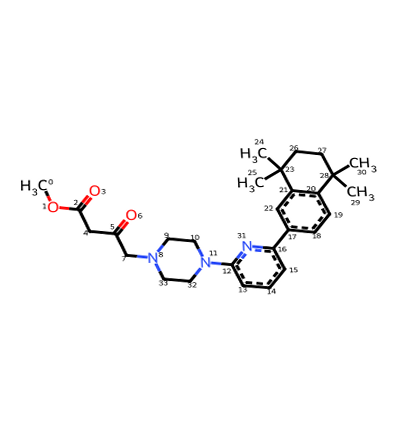 COC(=O)CC(=O)CN1CCN(c2cccc(-c3ccc4c(c3)C(C)(C)CCC4(C)C)n2)CC1